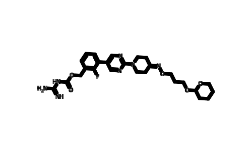 N=C(N)NC(=O)OCc1cccc(-c2cnc(N3CCC(=NOCCCOC4CCCCO4)CC3)nc2)c1F